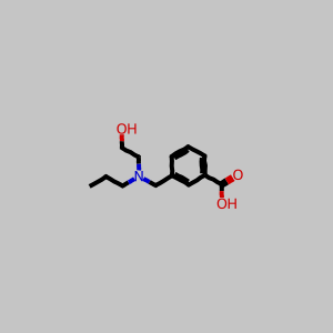 CCCN(CCO)Cc1cccc(C(=O)O)c1